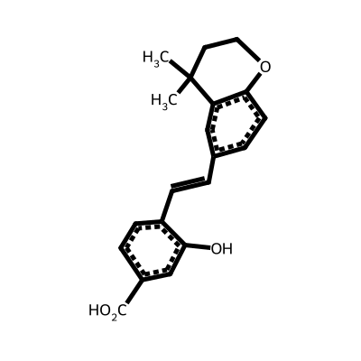 CC1(C)CCOc2ccc(C=Cc3ccc(C(=O)O)cc3O)cc21